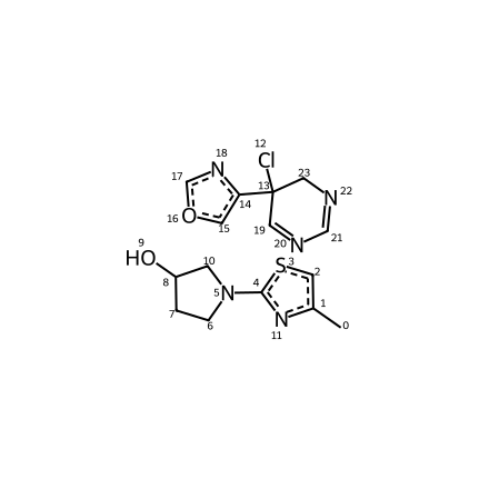 Cc1csc(N2CCC(O)C2)n1.ClC1(c2cocn2)C=NC=NC1